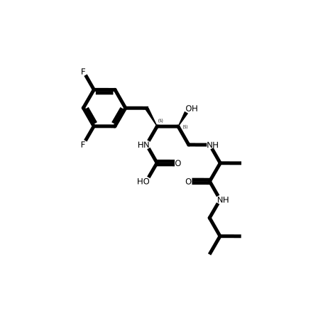 CC(C)CNC(=O)C(C)NC[C@H](O)[C@H](Cc1cc(F)cc(F)c1)NC(=O)O